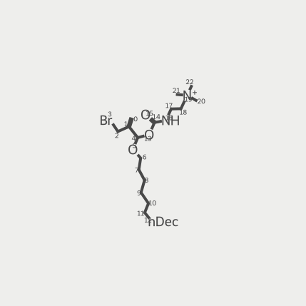 C=C(CBr)C(OCCCCCCCCCCCCCCCC)OC(=O)NCC[N+](C)(C)C